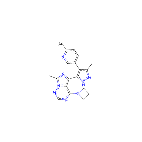 CC(=O)c1ccc(-c2c(C)n[nH]c2-c2nc(C)n3ncnc(N4CCC4)c23)cn1